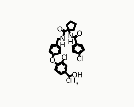 CC(O)c1ccc(Oc2ccc(CNC(=O)C3(NC(=O)c4ccc(Cl)cc4)CCCC3)cc2)c(Cl)c1